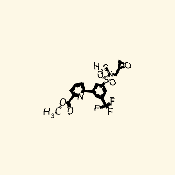 COC(=O)c1cccc(-c2cc(C(F)(F)F)cc(S(=O)(=O)N(C)CC3CO3)c2)n1